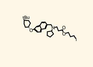 CC(C)(C)[C@H]1CC[C@H](Oc2ccc3cc(CN(CCC(=O)OCCCI)C4CCCC4)ccc3c2)CC1